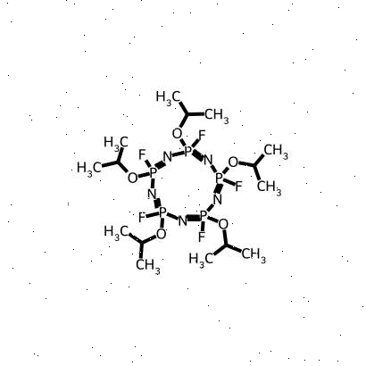 CC(C)OP1(F)=NP(F)(OC(C)C)=NP(F)(OC(C)C)=NP(F)(OC(C)C)=NP(F)(OC(C)C)=N1